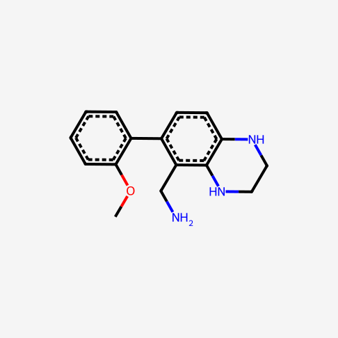 COc1ccccc1-c1ccc2c(c1CN)NCCN2